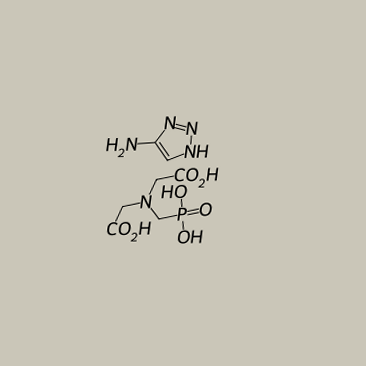 Nc1c[nH]nn1.O=C(O)CN(CC(=O)O)CP(=O)(O)O